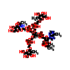 CC(=O)NC1[C@H](OCCOP(=O)(O)OCOCC(COCOP(=O)(O)OCCO[C@@H]2OC(CO)[C@H](O)[C@H](O)C2C)(COCOP(=O)(O)OCCO[C@@H]2OC(CO)[C@H](O)[C@H](O)C2C)COP(=O)(O)OCC2O[C@@H](n3cnc4c(C)ncnc43)CC2OP(=O)(O)OC(C)C)OC(CO)[C@H](O)[C@@H]1O